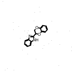 c1ccc2c(c1)OC[C](c1nc3ccccc3[nH]1)O2